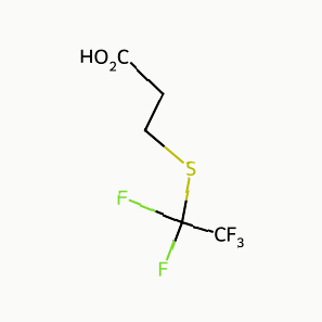 O=C(O)CCSC(F)(F)C(F)(F)F